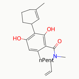 C=CCN(C)C(=O)c1c(CCCCC)cc(O)c(C2C=C(C)CCC2)c1O